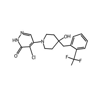 CC(F)(F)c1ccccc1CC1(O)CCN(c2cn[nH]c(=O)c2Cl)CC1